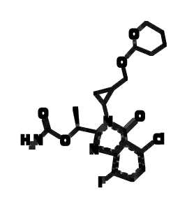 C[C@H](OC(N)=O)c1nc2c(F)ccc(Cl)c2c(=O)n1C1CC1COC1CCCCO1